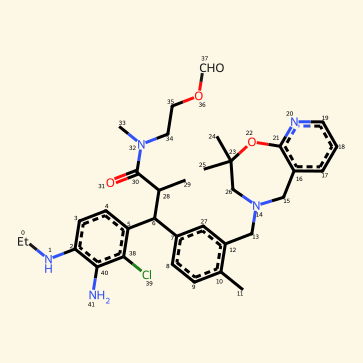 CCNc1ccc(C(c2ccc(C)c(CN3Cc4cccnc4OC(C)(C)C3)c2)C(C)C(=O)N(C)CCOC=O)c(Cl)c1N